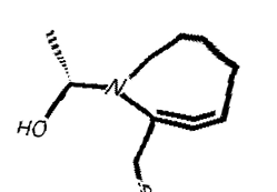 CC(C)C1=CCCN1[C@@H](C)O